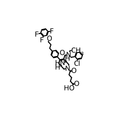 CCN(Cc1ccccc1Cl)C(=O)C1=C(c2ccc(CCCOc3c(F)ccc(F)c3F)cc2)C[C@@H]2CN(C(=O)CCCC(=O)O)C[C@H]1N2